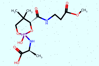 COC(=O)CCNC(=O)[C@@H]1O[PH](O)(N[C@@H](C)C(=O)O)OCC1(C)C